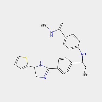 C=C(NCCC)c1ccc(NC(CC(C)C)c2ccc(C3=NCC(c4cccs4)N3)cc2)cc1